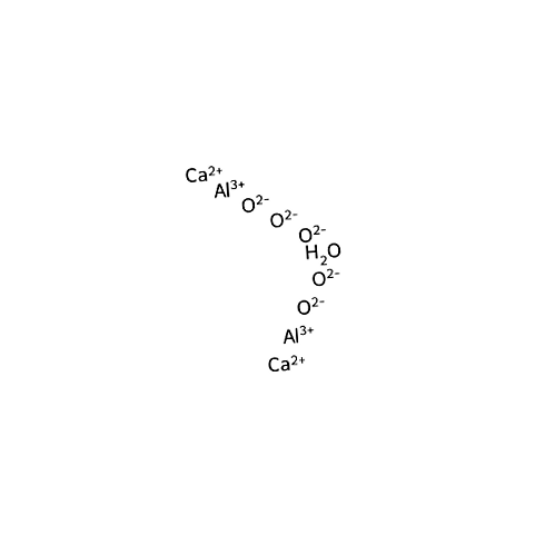 O.[Al+3].[Al+3].[Ca+2].[Ca+2].[O-2].[O-2].[O-2].[O-2].[O-2]